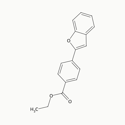 CCOC(=O)c1ccc(-c2cc3ccccc3o2)cc1